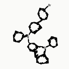 Brc1ccc(-c2ccc(N(c3ccccc3)c3ccc4c5ccccc5n(-c5ccccc5)c4c3)cc2)cc1